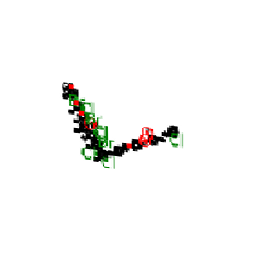 C=C=C.C=Cc1c(Cl)cccc1Cl.C=Cc1ccc(Br)cc1.C=Cc1ccc(C(C)(C)C)cc1.C=Cc1ccc(Cl)cc1.C=Cc1ccc(OC(C)(C)C)cc1.C=Cc1ccc(OCc2ccccc2)c(OC)c1.C=Cc1cccc(Br)c1.C=Cc1cccc(Cl)c1.C=Cc1ccccc1Br.C=Cc1ccccc1Cl